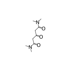 CN(C)C(=O)CC(=O)CC(=O)N(C)C